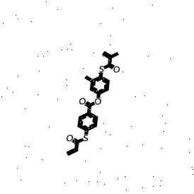 C=CC(=O)Sc1ccc(C(=O)Oc2ccc(SC(=O)C(=C)C)c(C)c2)cc1